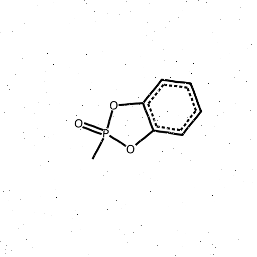 CP1(=O)Oc2ccccc2O1